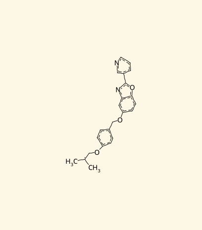 C[C](C)COc1ccc(COc2ccc3oc(-c4cccnc4)nc3c2)cc1